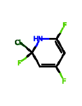 FC1=CC(F)(Cl)NC(F)=C1